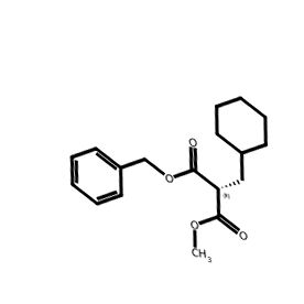 COC(=O)[C@@H](CC1CCCCC1)C(=O)OCc1ccccc1